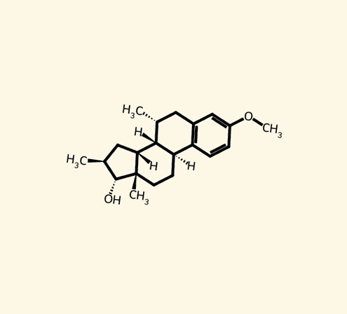 COc1ccc2c(c1)C[C@@H](C)[C@@H]1[C@@H]2CC[C@]2(C)[C@H](O)[C@@H](C)C[C@H]12